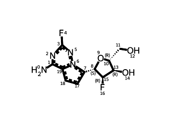 Nc1nc(F)nn2c([C@@H]3O[C@H](CO)[C@@H](O)[C@H]3F)ccc12